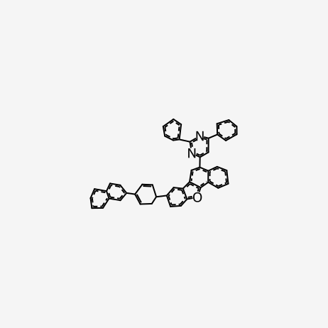 C1=CC(c2ccc3oc4c5ccccc5c(-c5cc(-c6ccccc6)nc(-c6ccccc6)n5)cc4c3c2)CC=C1c1ccc2ccccc2c1